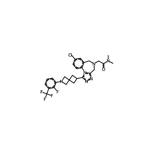 CN(C)C(=O)CN1Cc2cc(Cl)ccc2-n2c(nnc2C2CC3(C2)CN(c2cccc(C(F)(F)F)c2F)C3)C1